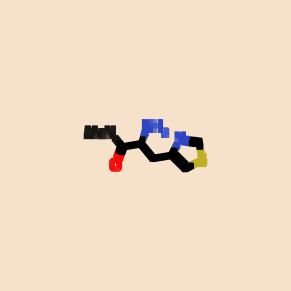 CNC(=O)[C@@H](N)Cc1cscn1